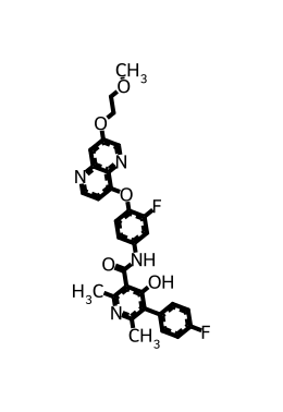 COCCOc1cnc2c(Oc3ccc(NC(=O)c4c(C)nc(C)c(-c5ccc(F)cc5)c4O)cc3F)ccnc2c1